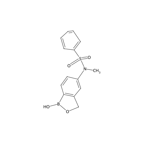 CN(c1ccc2c(c1)COB2O)S(=O)(=O)c1ccccc1